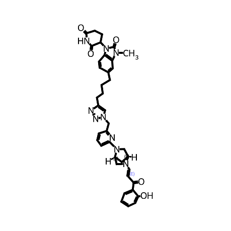 Cn1c(=O)n(C2CCC(=O)NC2=O)c2ccc(CCCCc3cn(Cc4cccc(N5C[C@H]6C[C@@H]5CN6/C=C/C(=O)c5ccccc5O)n4)nn3)cc21